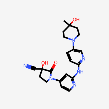 CC1(O)CCN(c2ccc(Nc3cc(N4CC[C@](O)(C#N)C4=O)ccn3)nc2)CC1